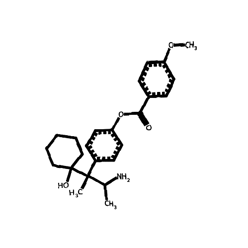 COc1ccc(C(=O)Oc2ccc(C(C)(C(C)N)C3(O)CCCCC3)cc2)cc1